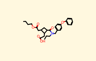 CCCCOC(=O)CC1CC(C(=O)N(CCC)Cc2ccc(Oc3ccccc3)cc2)C1CC(=O)O